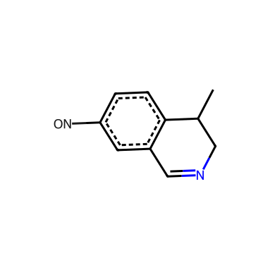 CC1CN=Cc2cc(N=O)ccc21